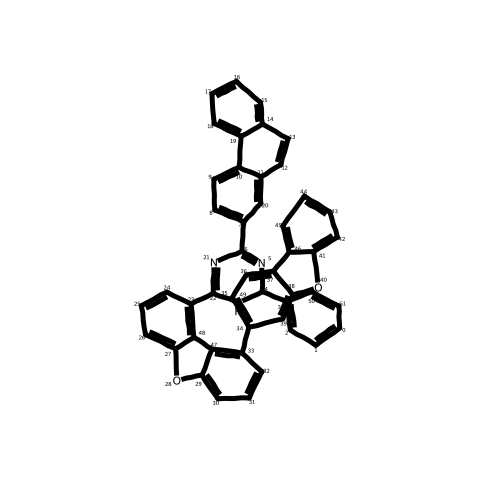 c1ccc(C2N=C(c3ccc4c(ccc5ccccc54)c3)N=C(c3cccc4oc5cccc(-c6ccc7c(c6)oc6ccccc67)c5c34)N2)cc1